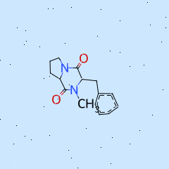 CN1C(=O)C2CCCN2C(=O)C1Cc1ccccc1